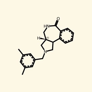 Cc1cc(C)cc(CN2CC3c4ccccc4C(=O)NC[C@H]3C2)c1